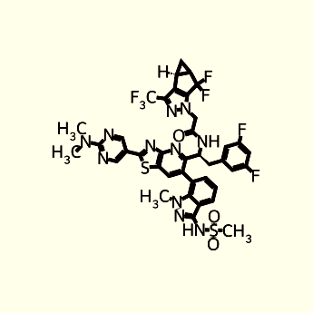 CN(C)c1ncc(-c2nc3nc([C@H](Cc4cc(F)cc(F)c4)NC(=O)Cn4nc(C(F)(F)F)c5c4C(F)(F)C4C[C@H]54)c(-c4cccc5c(NS(C)(=O)=O)nn(C)c45)cc3s2)cn1